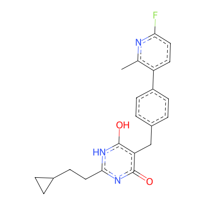 Cc1nc(F)ccc1-c1ccc(Cc2c(O)[nH]c(CCC3CC3)nc2=O)cc1